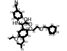 CCOc1cc(C(Nc2ccc(C#N)cc2)C(=O)O)c(OCCOCc2ccccc2)cc1CC(C)C